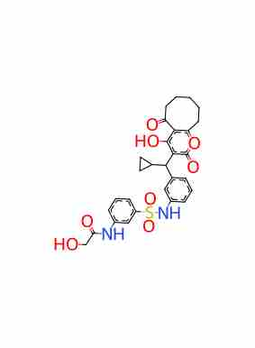 O=C(CO)Nc1cccc(S(=O)(=O)Nc2cccc(C(c3c(O)c4c(oc3=O)CCCCCC4=O)C3CC3)c2)c1